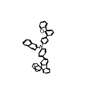 c1ccc2c(c1)-c1ccc(-c3ccc(N(c4ccc(-c5cccc6c5oc5ccccc56)cc4)c4ccc5ccccc5c4)cc3)cc1C21C2CC3CC(C2)CC1C3